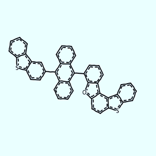 c1ccc2c(c1)sc1ccc(-c3c4ccccc4c(-c4cccc5c4oc4ccc6sc7ccccc7c6c45)c4ccccc34)cc12